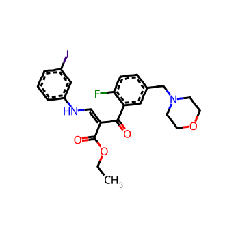 CCOC(=O)C(=CNc1cccc(I)c1)C(=O)c1cc(CN2CCOCC2)ccc1F